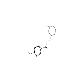 CCc1ccc(C(=O)OO[C]2CCCC(C)C2)cc1